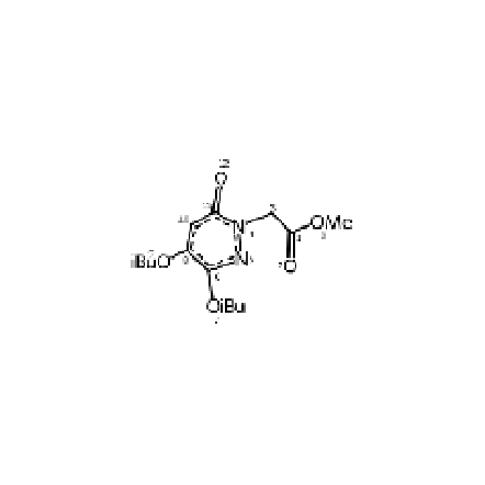 COC(=O)Cn1nc(OCC(C)C)c(OCC(C)C)cc1=O